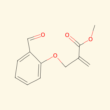 C=C(COc1ccccc1C=O)C(=O)OC